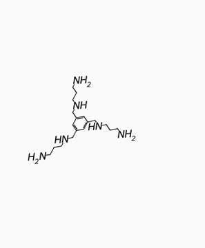 NCCCNCc1cc(CNCCCN)cc(CNCCCN)c1